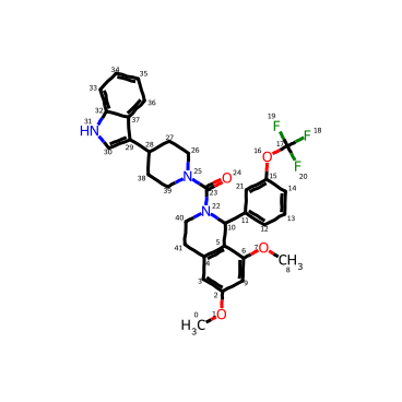 COc1cc2c(c(OC)c1)C(c1cccc(OC(F)(F)F)c1)N(C(=O)N1CCC(c3c[nH]c4ccccc34)CC1)CC2